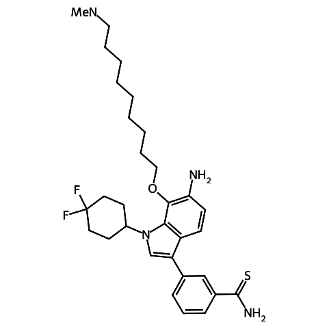 CNCCCCCCCCCOc1c(N)ccc2c(-c3cccc(C(N)=S)c3)cn(C3CCC(F)(F)CC3)c12